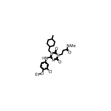 CCOc1ccc(Nc2nc(=O)n(CCC(=O)NC)c(=O)n2CC2CCC(C)CC2)cc1Cl